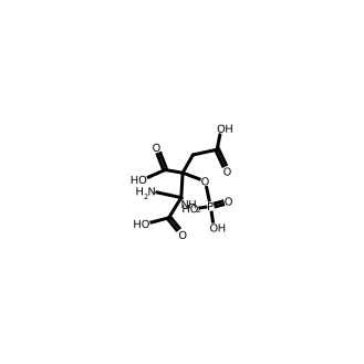 NC(N)(C(=O)O)C(CC(=O)O)(OP(=O)(O)O)C(=O)O